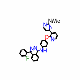 CNc1nccc(-c2cccnc2Oc2ccc(Nc3nnc(-c4ccccc4F)c4ccccc34)cc2)n1